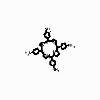 Nc1ccc(/C2=C3\C=CC(=N3)/C(c3ccc(N)cc3)=c3/cc/c([nH]3)=C(\c3ccc(N)cc3)C3C=C/C(=C(\c4ccc(N)cc4)c4ccc2[nH]4)N3)cc1